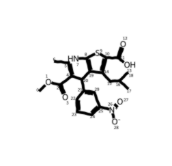 COC(=O)C1=C(C)Nc2sc(C(=O)O)c(CC(C)C)c2C1c1cccc([N+](=O)[O-])c1